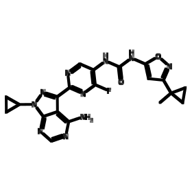 CC1(c2cc(NC(=O)Nc3cnc(-c4nn(C5CC5)c5ncnc(N)c45)nc3F)on2)CC1